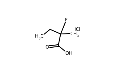 CCC(C)(F)C(=O)O.Cl